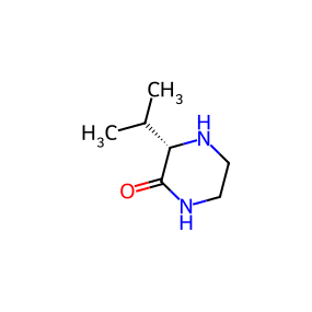 CC(C)[C@@H]1NCCNC1=O